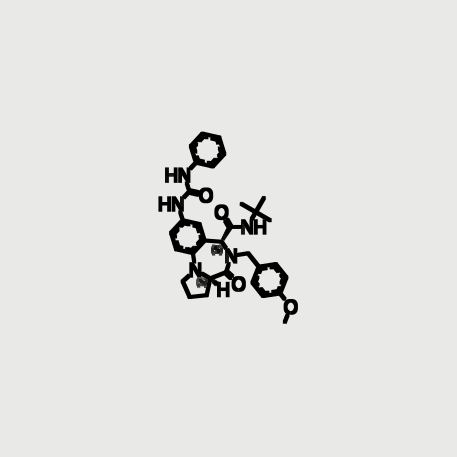 COc1ccc(CN2C(=O)[C@@H]3CCCN3c3ccc(NC(=O)Nc4ccccc4)cc3[C@H]2C(=O)NC(C)(C)C)cc1